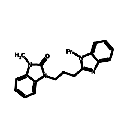 CC(C)n1c(CCCn2c(=O)n(C)c3ccccc32)nc2ccccc21